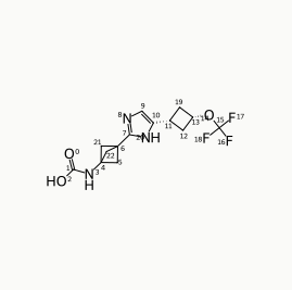 O=C(O)NC12CC(c3ncc([C@H]4C[C@@H](OC(F)(F)F)C4)[nH]3)(C1)C2